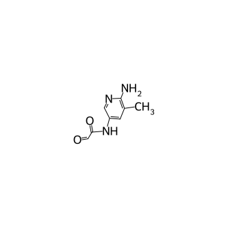 Cc1cc(NC(=O)C=O)cnc1N